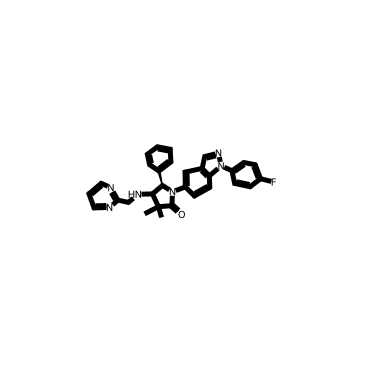 CC1(C)C(=O)N(c2ccc3c(cnn3-c3ccc(F)cc3)c2)[C@H](c2ccccc2)C1NCc1ncccn1